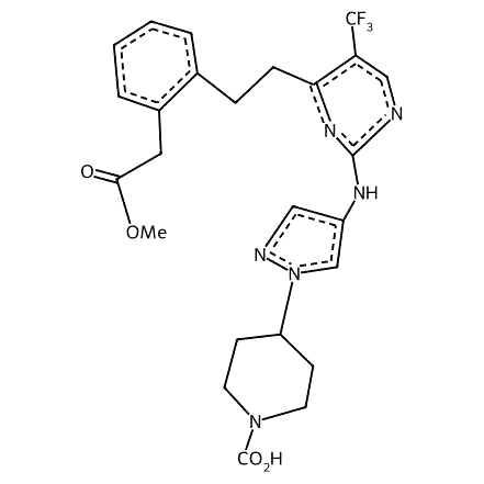 COC(=O)Cc1ccccc1CCc1nc(Nc2cnn(C3CCN(C(=O)O)CC3)c2)ncc1C(F)(F)F